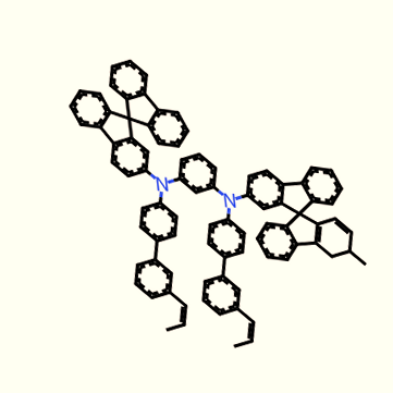 C/C=C\c1cccc(-c2ccc(N(c3cccc(N(c4ccc(-c5cccc(/C=C\C)c5)cc4)c4ccc5c(c4)C4(c6ccccc6-c6ccccc64)c4ccccc4-5)c3)c3ccc4c(c3)C3(C5=C(CC(C)C=C5)c5ccccc53)c3ccccc3-4)cc2)c1